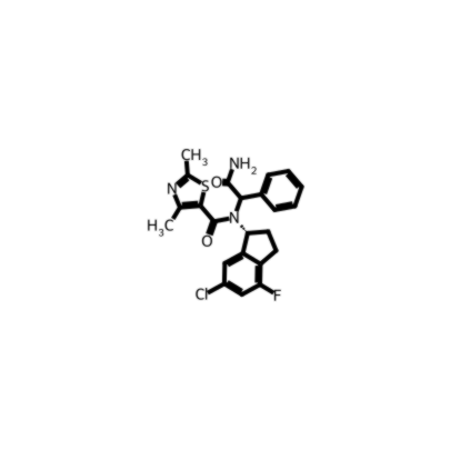 Cc1nc(C)c(C(=O)N(C(C(N)=O)c2ccccc2)[C@@H]2CCc3c(F)cc(Cl)cc32)s1